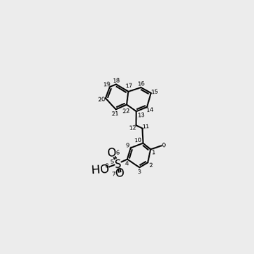 Cc1ccc(S(=O)(=O)O)cc1CCc1cccc2ccccc12